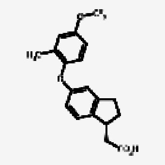 Cc1cc(OC(F)(F)F)ccc1Oc1ccc2c(c1)CC[C@H]2CC(=O)O